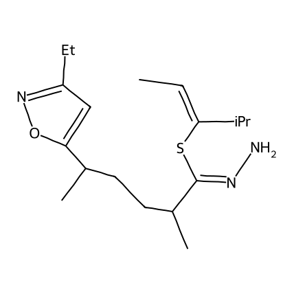 C/C=C(\S/C(=N\N)C(C)CCC(C)c1cc(CC)no1)C(C)C